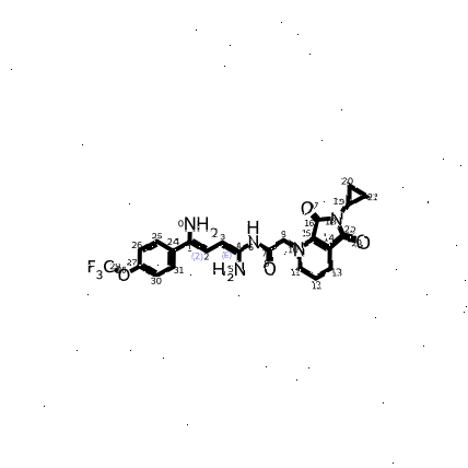 N/C(=C\C=C(/N)NC(=O)CN1CCCC2=C1C(=O)N(C1CC1)C2=O)c1ccc(OC(F)(F)F)cc1